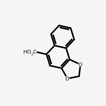 O=C(O)c1cc2c(c3ccccc13)OCO2